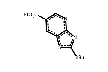 CCCCc1nc2ncc(C(=O)OCC)cc2s1